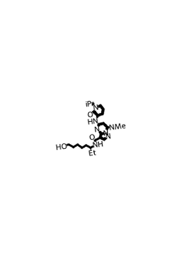 CC[C@H](CCCCCO)NC(=O)c1cnn2c(NC)cc(Nc3cccn(C(C)C)c3=O)nc12